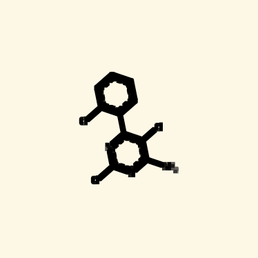 Nc1nc(Cl)nc(-c2ccccc2Cl)c1Cl